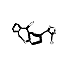 O=C1c2ccccc2COc2ccc(-c3nsnc3O)cc21